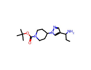 CCC(N)c1cnn(C2CCN(C(=O)OC(C)(C)C)CC2)c1